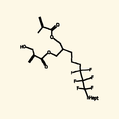 C=C(C)C(=O)OCC(CCCC(F)(F)C(F)(F)C(F)(F)CCCCCCC)COC(=O)C(=C)CO